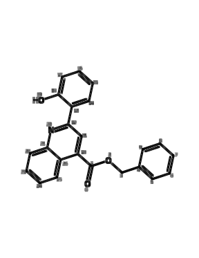 O=C(OCc1ccccc1)c1cc(-c2ccccc2O)nc2ccccc12